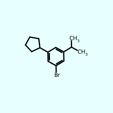 CC(C)c1cc(Br)cc(C2CCCC2)c1